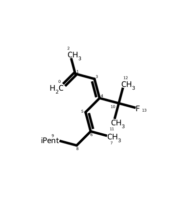 C=C(C)/C=C(\C=C(/C)CC(C)CCC)C(C)(C)F